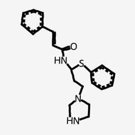 O=C(C=Cc1ccccc1)NC(CCN1CCNCC1)Sc1ccccc1